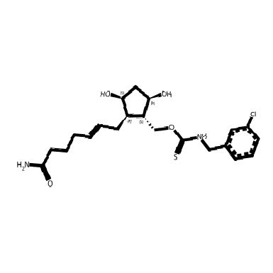 NC(=O)CCCC=CC[C@@H]1[C@@H](COC(=S)NCc2cccc(Cl)c2)[C@H](O)C[C@@H]1O